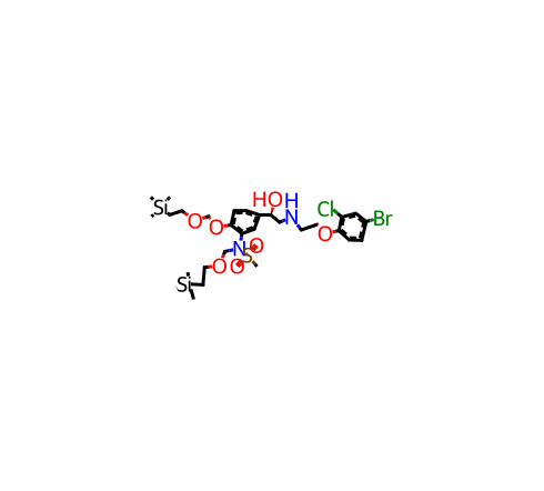 C[Si](C)(C)CCOCOc1ccc([C@@H](O)CNCCOc2ccc(Br)cc2Cl)cc1N(COCC[Si](C)(C)C)S(C)(=O)=O